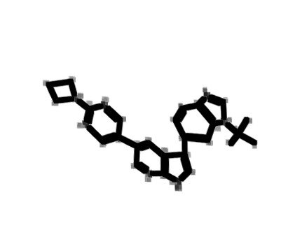 CC(C)(C)n1cnc2ccc(-c3c[nH]c4ncc(-c5cnc(N6CCC6)nc5)cc34)cc21